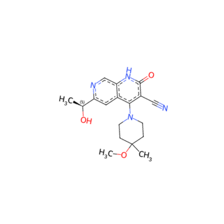 COC1(C)CCN(c2c(C#N)c(=O)[nH]c3cnc([C@H](C)O)cc23)CC1